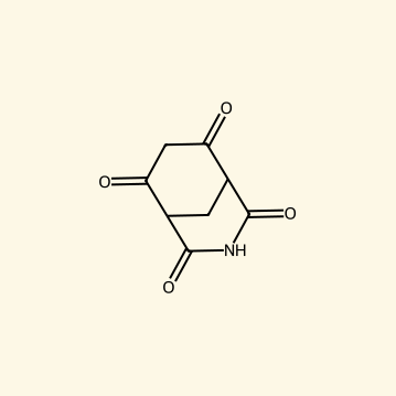 O=C1CC(=O)C2CC1C(=O)NC2=O